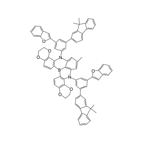 Cc1cc2c3c(c1)N(c1cc(-c4ccc5c(c4)C(C)(C)c4ccccc4-5)cc(-c4cc5ccccc5o4)c1)c1c(ccc4c1OCCO4)B3c1ccc3c(c1N2c1cc(-c2ccc4c(c2)C(C)(C)c2ccccc2-4)cc(-c2cc4ccccc4o2)c1)OCCO3